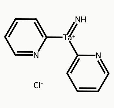 [Cl-].[NH]=[Ta+]([c]1ccccn1)[c]1ccccn1